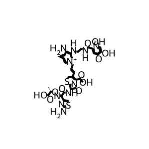 C[C@H](O/N=C(\C(=O)N[C@@H]1C(=O)N2C(C(=O)O)=C(/C=C/C[N+]3=C/C(NCCNC(=O)c4cc(=O)c(O)cn4O)=C(N)\C=C\C=C\3)CSC12)c1csc(N)n1)C(=O)O